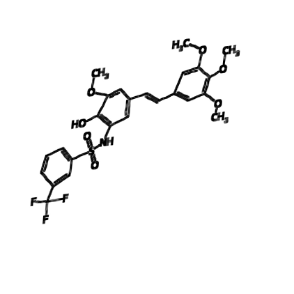 COc1cc(C=Cc2cc(OC)c(OC)c(OC)c2)cc(NS(=O)(=O)c2cccc(C(F)(F)F)c2)c1O